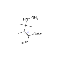 C=C/C(OC)=C(\C)C(C)(C)NN